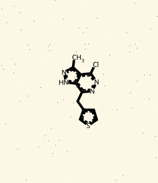 Cc1n[nH]c2c(Cc3ccsc3)nnc(Cl)c12